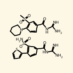 CS(=O)(=O)c1cc(C(=O)NC(=N)N)ccc1N1CCCCC1.N=C(N)NC(=O)c1ccc(-c2cccs2)c(S(N)(=O)=O)c1